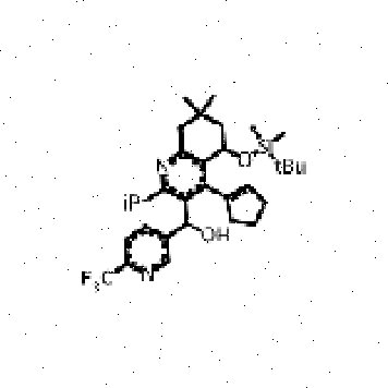 CC(C)c1nc2c(c(C3=CCCC3)c1[C@@H](O)c1ccc(C(F)(F)F)nc1)C(O[Si](C)(C)C(C)(C)C)CC(C)(C)C2